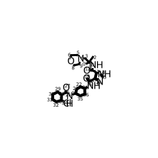 CC(C)(CN1CCOCC1)NC(=O)c1[nH]cnc1C(=O)Nc1ccc(NC(=O)c2ccccc2Cl)cc1